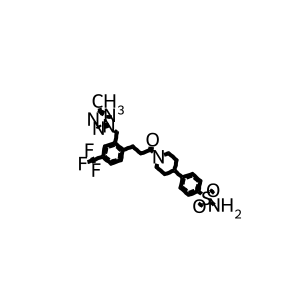 Cc1nnn(Cc2cc(C(F)(F)F)ccc2CCC(=O)N2CCC(c3ccc(S(N)(=O)=O)cc3)CC2)n1